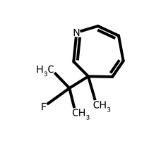 CC(C)(F)C1(C)C=CC=CN=C1